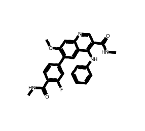 CNC(=O)c1ccc(-c2cc3c(Nc4ccccc4)c(C(=O)NC)cnc3cc2OC)cc1F